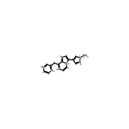 Nn1cc(-c2cnc3c(Cc4cnccn4)nccn23)cn1